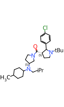 CC(C)CN(C1CCC(C)CC1)[C@H]1CCN(C(=O)[C@H]2CCN(C(C)(C)C)C2c2ccc(Cl)cc2)C1